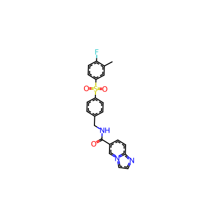 Cc1cc(S(=O)(=O)c2ccc(CNC(=O)c3ccc4nccn4c3)cc2)ccc1F